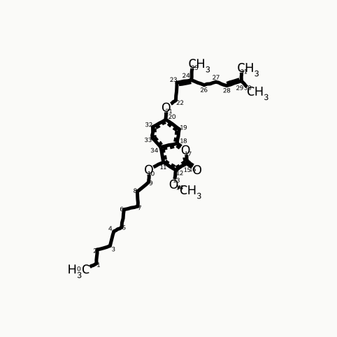 CCCCCCCCCCOc1c(OC)c(=O)oc2cc(OCC=C(C)CCC=C(C)C)ccc12